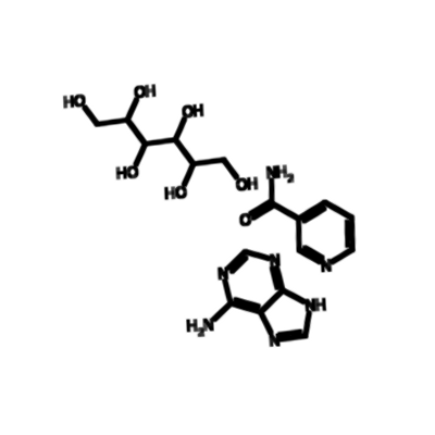 NC(=O)c1cccnc1.Nc1ncnc2[nH]cnc12.OCC(O)C(O)C(O)C(O)CO